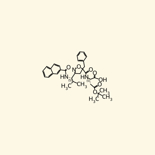 CC(C)[C@H](NC(=O)c1ccc2ccccc2c1)C1=NOC(Cc2ccccc2)(C(=O)N[C@@H](CC(=O)OC(C)(C)C)C(=O)O)C1